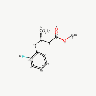 CC(C)(C)OC(=O)C[C@@H](Cc1ccccc1F)C(=O)O